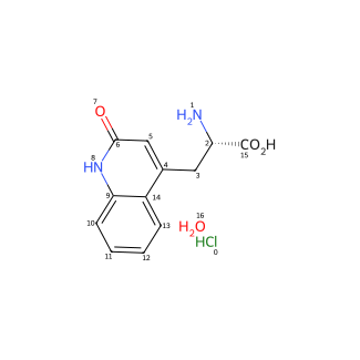 Cl.N[C@@H](Cc1cc(=O)[nH]c2ccccc12)C(=O)O.O